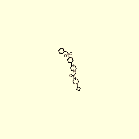 O=C(CN1CCN(c2ccc(S(=O)(=O)Cc3ccccc3)cc2)CC1)N1CCN(C2CCC2)CC1